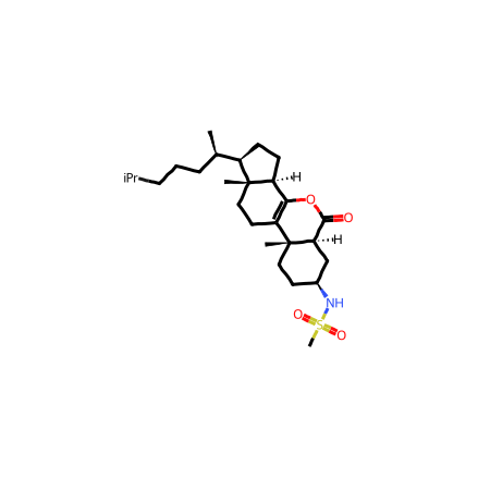 CC(C)CCC[C@@H](C)[C@H]1CC[C@H]2C3=C(CC[C@]12C)[C@@]1(C)CC[C@H](NS(C)(=O)=O)C[C@@H]1C(=O)O3